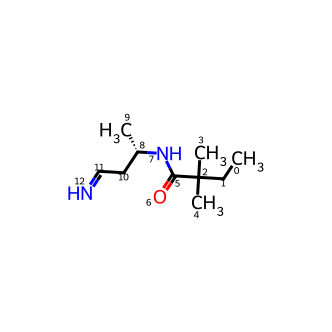 CCC(C)(C)C(=O)N[C@@H](C)CC=N